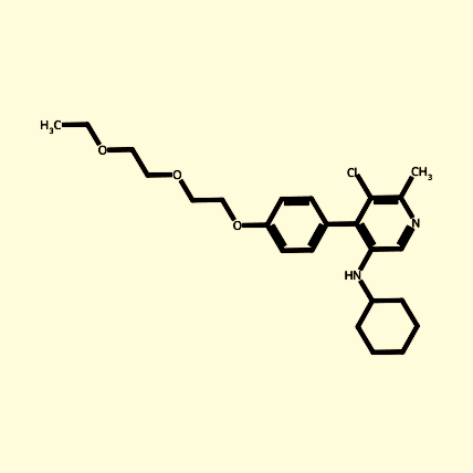 CCOCCOCCOc1ccc(-c2c(NC3CCCCC3)cnc(C)c2Cl)cc1